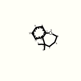 CC1(C)CCCOc2ccccc21